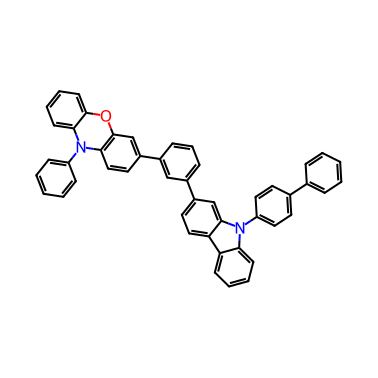 c1ccc(-c2ccc(-n3c4ccccc4c4ccc(-c5cccc(-c6ccc7c(c6)Oc6ccccc6N7c6ccccc6)c5)cc43)cc2)cc1